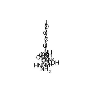 CCC(CC)[C@H](NC(C)O)[C@@H]1[C@H](OC(=O)NCCOCCOCCOCCOCI)[C@@H](C(=O)O)C[C@H]1NC(=N)N